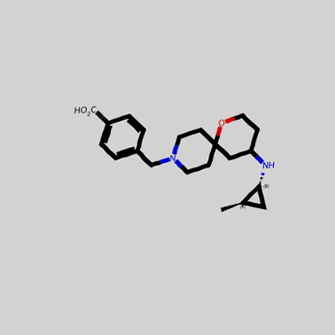 C[C@@H]1C[C@H]1NC1CCOC2(CCN(Cc3ccc(C(=O)O)cc3)CC2)C1